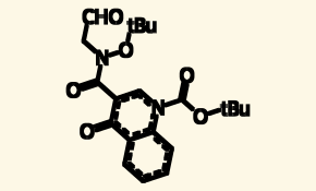 CC(C)(C)OC(=O)n1cc(C(=O)N(CC=O)OC(C)(C)C)c(=O)c2ccccc21